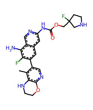 Cc1c(-c2cc3cc(NC(=O)OCC4(F)CCNC4)ncc3c(N)c2F)cnc2c1NCCO2